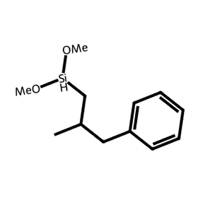 CO[SiH](CC(C)Cc1ccccc1)OC